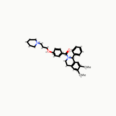 COc1cc2c(cc1OC)C(c1ccccc1)N(C(=O)c1ccc(OCCCN3CCCCC3)cc1)CC2